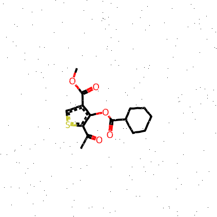 COC(=O)c1csc(C(C)=O)c1OC(=O)C1CCCCC1